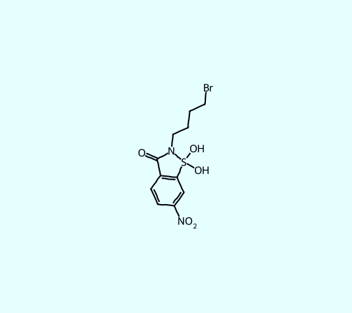 O=C1c2ccc([N+](=O)[O-])cc2S(O)(O)N1CCCCBr